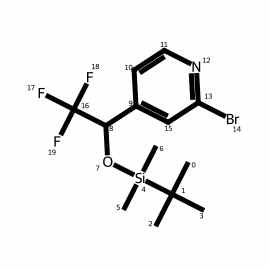 CC(C)(C)[Si](C)(C)OC(c1ccnc(Br)c1)C(F)(F)F